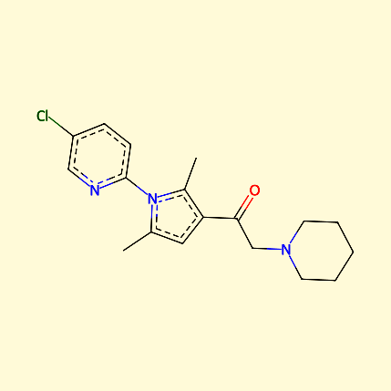 Cc1cc(C(=O)CN2CCCCC2)c(C)n1-c1ccc(Cl)cn1